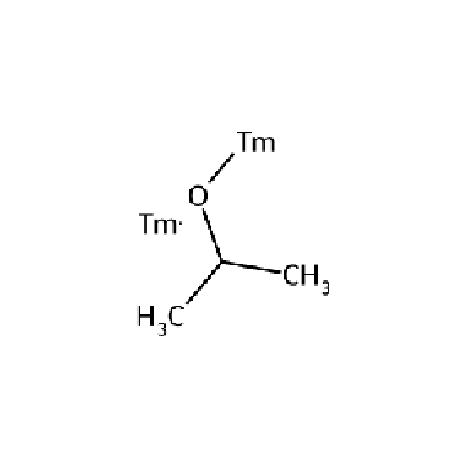 CC(C)[O][Tm].[Tm]